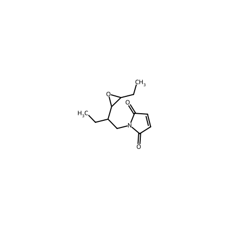 CCC(CN1C(=O)C=CC1=O)C1OC1CC